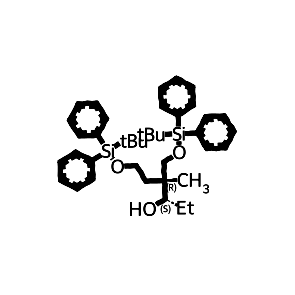 CC[C@H](O)[C@](C)(CCO[Si](c1ccccc1)(c1ccccc1)C(C)(C)C)CO[Si](c1ccccc1)(c1ccccc1)C(C)(C)C